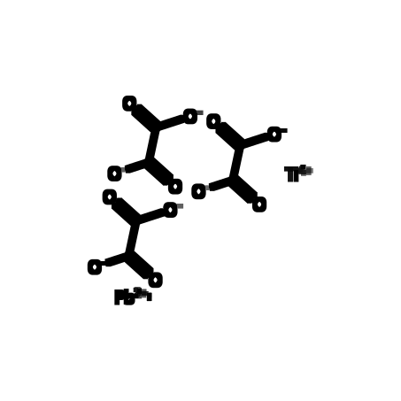 O=C([O-])C(=O)[O-].O=C([O-])C(=O)[O-].O=C([O-])C(=O)[O-].[Pb+2].[Ti+4]